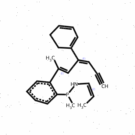 C#C/C=C(\C=C(/C)c1ccccc1P(C)N/C=C\C)C1=CC=CCC1